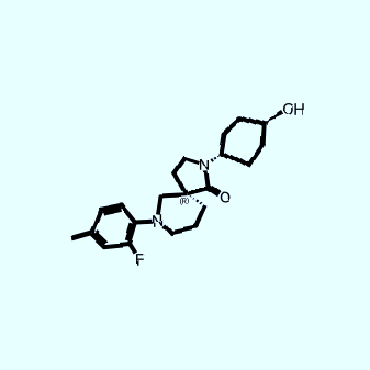 Cc1ccc(N2CCC[C@@]3(CCN([C@H]4CC[C@H](O)CC4)C3=O)C2)c(F)c1